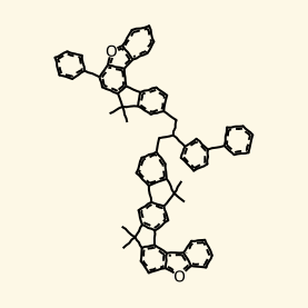 CC1(C)c2cc(CC(Cc3ccc4c(c3)C(C)(C)c3cc(-c5ccccc5)c5oc6ccccc6c5c3-4)c3cccc(-c4ccccc4)c3)ccc2-c2cc3c(cc21)-c1c(ccc2oc4ccccc4c12)C3(C)C